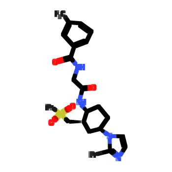 CC(C)c1nccn1[C@@H]1CC[C@H](NC(=O)CNC(=O)c2cccc(C(F)(F)F)c2)[C@@H](CS(=O)(=O)C(C)C)C1